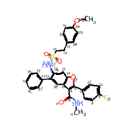 CNC(=O)c1c(-c2ccc(F)cc2)oc2cc(NS(=O)(=O)CCc3ccc(OC)cc3)c(-c3ccccc3)cc12